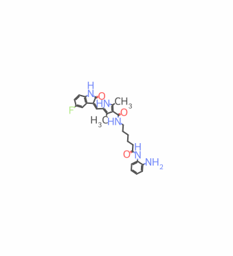 Cc1[nH]c(/C=C2\C(=O)Nc3ccc(F)cc32)c(C)c1C(=O)NCCCCCC(=O)Nc1ccccc1N